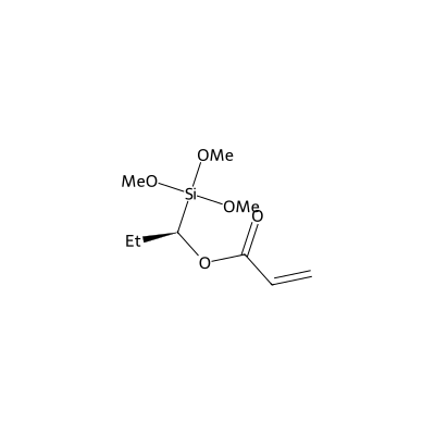 C=CC(=O)O[C@@H](CC)[Si](OC)(OC)OC